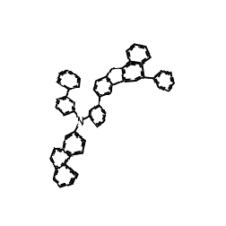 c1ccc(-c2cccc(N(c3cccc(-c4ccc5c(c4)-c4cc(-c6ccccc6)c6ccccc6c4C5)c3)c3ccc4c(ccc5ccccc54)c3)c2)cc1